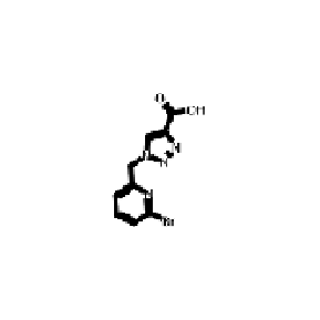 O=C(O)c1cn(Cc2cccc(Br)n2)nn1